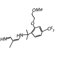 COCCOc1cc(C(F)(F)F)ccc1C(C)(C)N/C=C(/C)C=N